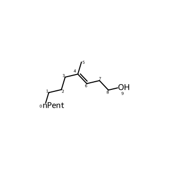 CCCCCCCCC(C)=CCCO